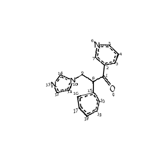 O=C(c1cccnc1)C(Cn1ccnc1)c1ccccc1